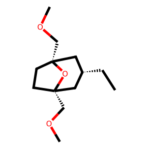 CC[C@@H]1C[C@@]2(COC)CC[C@@](COC)(C1)O2